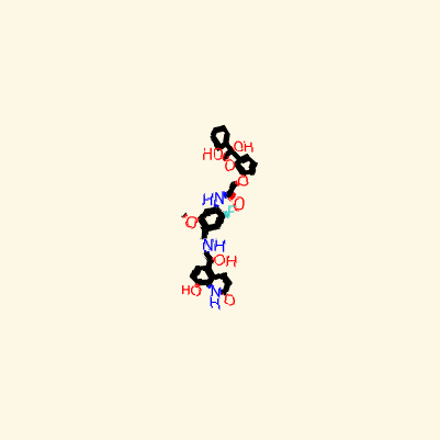 COc1cc(NC(=O)COc2cccc(C(O)(C(=O)O)c3ccccc3)c2)c(F)cc1CNCC(O)c1ccc(O)c2[nH]c(=O)ccc12